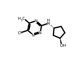 Cc1nc(N[C@@H]2CC[C@@H](O)C2)nnc1Cl